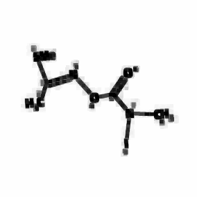 CSC(C)=NOC(=O)N(C)I